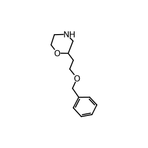 c1ccc(COCCC2CNCCO2)cc1